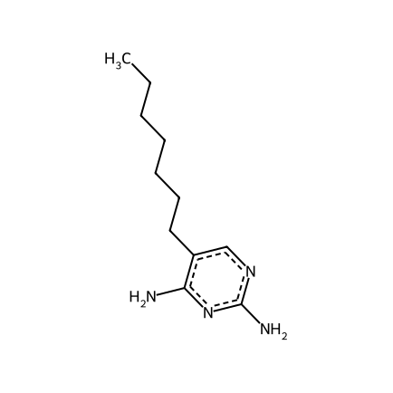 CCCCCCCc1cnc(N)nc1N